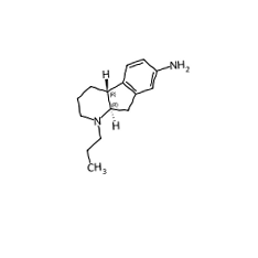 CCCN1CCC[C@@H]2c3ccc(N)cc3C[C@H]21